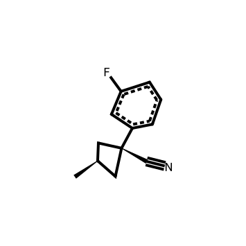 C[C@H]1C[C@](C#N)(c2cccc(F)c2)C1